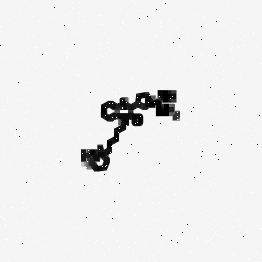 C[C@H]1CCC[C@@](C)(CCCCCN2C(=O)C(C3CCN(C(=N)N)C3)Sc3ccccc32)N1